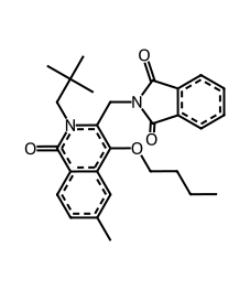 CCCCOc1c(CN2C(=O)c3ccccc3C2=O)n(CC(C)(C)C)c(=O)c2ccc(C)cc12